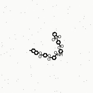 Cc1ccc2cc(OC(=O)c3ccc(OC(=O)c4cccc(C(=O)Nc5cccc(OC(=O)c6ccc(N7C(=O)C8CC=CCC8C7=O)cc6)c5)c4)cc3)ccc2c1